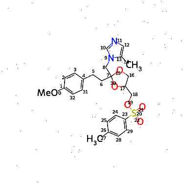 COc1ccc(CCC2(Cn3cncc3C)OCC(COS(=O)(=O)c3ccc(C)cc3)O2)cc1